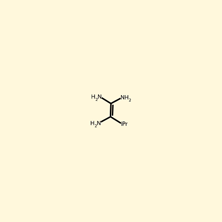 CC(C)C(N)=C(N)N